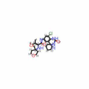 COCC1(NC(=C(C)C)c2nc3cc(Cl)c4c(c3o2)C2(CCCCC2)NC(=O)N4)CCOCC1